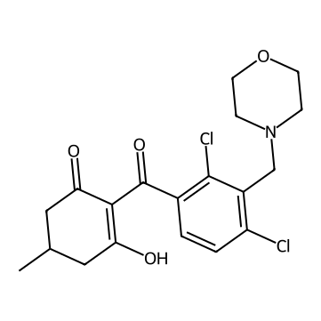 CC1CC(=O)C(C(=O)c2ccc(Cl)c(CN3CCOCC3)c2Cl)=C(O)C1